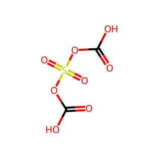 O=C(O)OS(=O)(=O)OC(=O)O